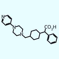 O=C(O)C(c1ccccc1)C1CCC(CN2CCN(c3ccncc3)CC2)CC1